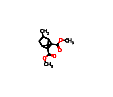 COC(=O)C1=C(C(=O)OC)C2CC1CC2C